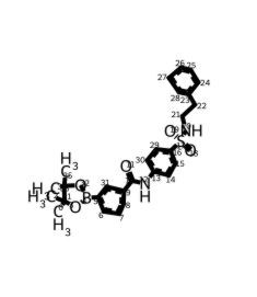 CC1(C)OB(c2cccc(C(=O)Nc3ccc(S(=O)(=O)NCCc4ccccc4)cc3)c2)OC1(C)C